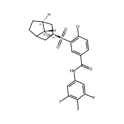 O=C(Nc1cc(F)c(F)c(F)c1)c1ccc(Cl)c(S(=O)(=O)[C@H]2CC3CC[C@@H](C2)[C@@H]3O)c1